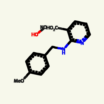 COc1ccc(CNc2ncccc2C(=O)O)cc1.O=NO